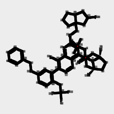 CC(C)(C)OC(=O)N1[C@@H]2CC[C@H]1CN(c1nc(OCC34CCCN3CC(F)C4)nc3c(F)c(-c4cc(OCc5ccccc5)ccc4CC(F)(F)F)ncc13)C2